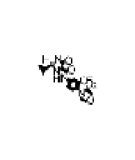 NC(=O)[C@H](NCC1CC1)C(=O)Nc1ccc(N2CCOCC2=O)c(C(F)(F)F)c1